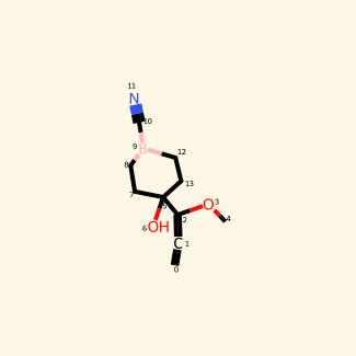 C=C=C(OC)C1(O)CCB(C#N)CC1